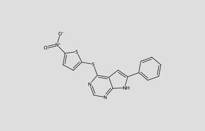 O=[N+]([O-])c1ccc(Sc2ncnc3[nH]c(-c4ccccc4)cc23)s1